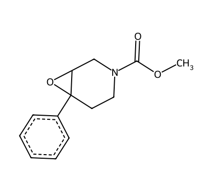 COC(=O)N1CCC2(c3ccccc3)OC2C1